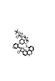 C[C@H]1C[C@@H](c2ccncc2NC(=O)c2ccc(F)c(-c3c(F)cccc3F)n2)C[C@@H](NC(=O)OC(C)(C)C)[C@H]1S(C)(=O)=O